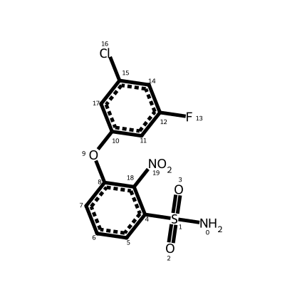 NS(=O)(=O)c1cccc(Oc2cc(F)cc(Cl)c2)c1[N+](=O)[O-]